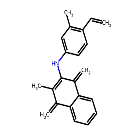 C=Cc1ccc(Nc2c(C)c(=C)c3ccccc3c2=C)cc1C